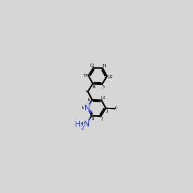 Cc1cc(N)nc(Cc2ccccc2)c1